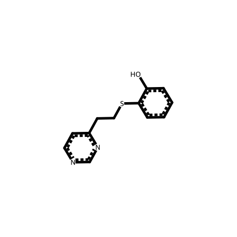 Oc1ccccc1SCCc1ccncn1